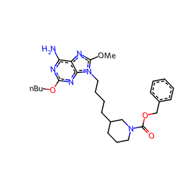 CCCCOc1nc(N)c2nc(OC)n(CCCCC3CCCN(C(=O)OCc4ccccc4)C3)c2n1